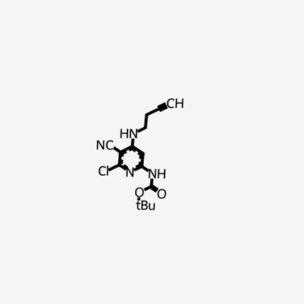 C#CCCNc1cc(NC(=O)OC(C)(C)C)nc(Cl)c1C#N